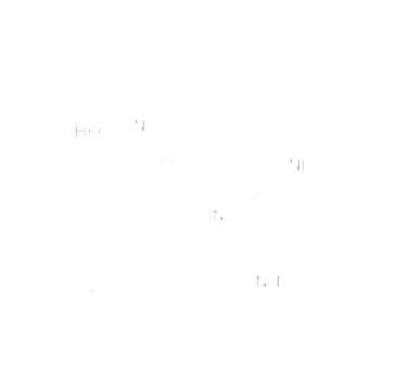 N=C(CCCl)NS(N)(=O)=O.O=[N+]([O-])O